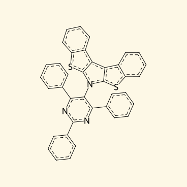 c1ccc(-c2nc(-c3ccccc3)c(-n3c4sc5ccccc5c4c4c5ccccc5sc43)c(-c3ccccc3)n2)cc1